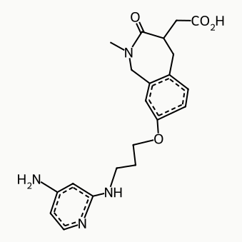 CN1Cc2cc(OCCCNc3cc(N)ccn3)ccc2CC(CC(=O)O)C1=O